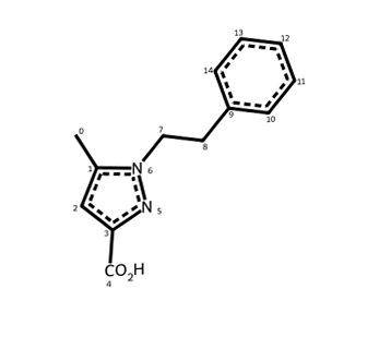 Cc1cc(C(=O)O)nn1CCc1ccccc1